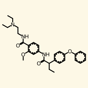 CCC(C(=O)Nc1ccc(C(=O)NCCN(CC)CC)c(OC)c1)c1ccc(Oc2ccccc2)cc1